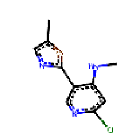 CNc1cc(Cl)ncc1-c1ncc(C)s1